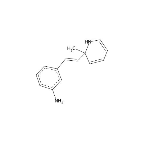 CC1(C=Cc2cccc(N)c2)C=CC=CN1